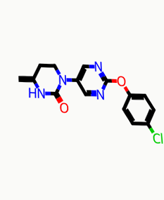 C=C1CCN(c2cnc(Oc3ccc(Cl)cc3)nc2)C(=O)N1